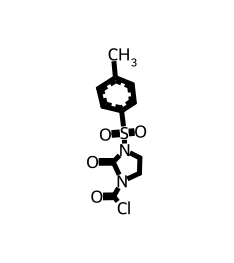 Cc1ccc(S(=O)(=O)N2CCN(C(=O)Cl)C2=O)cc1